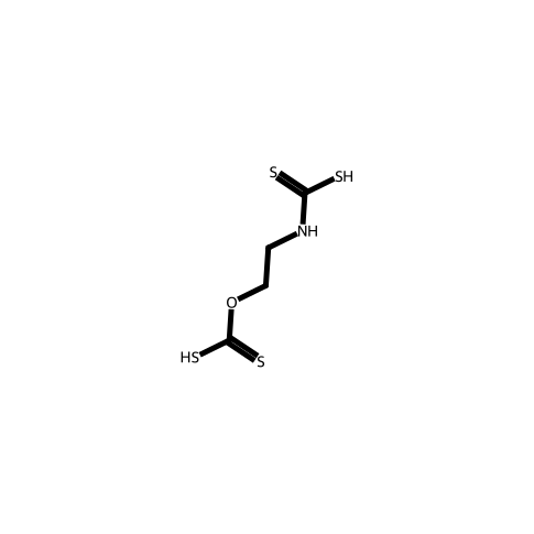 S=C(S)NCCOC(=S)S